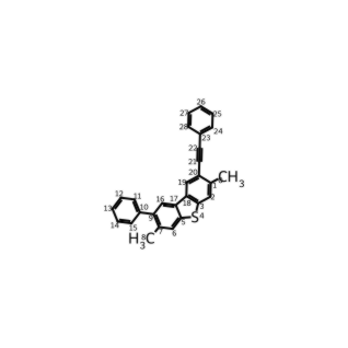 Cc1cc2sc3cc(C)c(-c4ccccc4)cc3c2cc1C#Cc1ccccc1